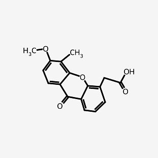 COc1ccc2c(=O)c3cccc(CC(=O)O)c3oc2c1C